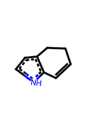 C1=Cc2[nH]ccc2CC1